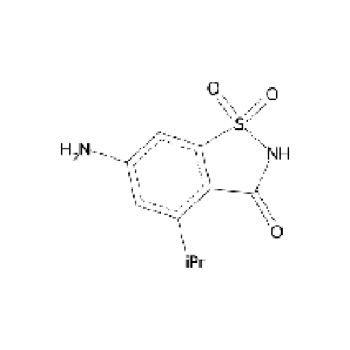 CC(C)c1cc(N)cc2c1C(=O)NS2(=O)=O